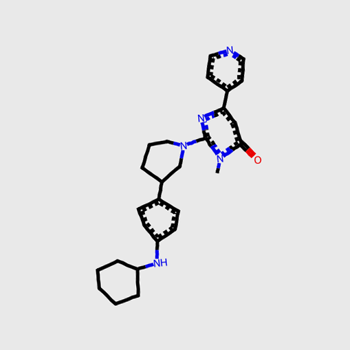 Cn1c(N2CCCC(c3ccc(NC4CCCCC4)cc3)C2)nc(-c2ccncc2)cc1=O